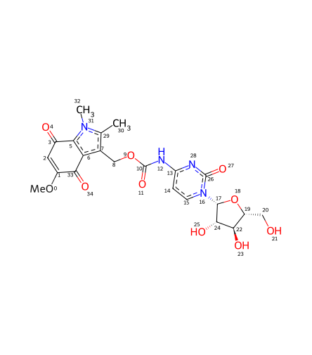 COC1=CC(=O)c2c(c(COC(=O)Nc3ccn([C@@H]4O[C@H](CO)[C@@H](O)[C@@H]4O)c(=O)n3)c(C)n2C)C1=O